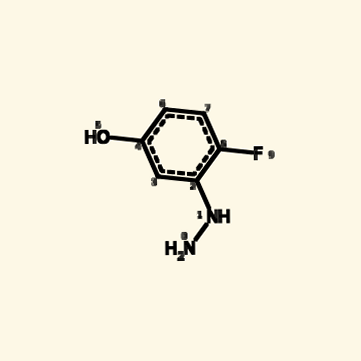 NNc1cc(O)ccc1F